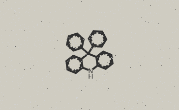 c1ccc(C2(c3ccccc3)c3ccccc3Nc3ccccc32)cc1